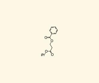 CC(C)OC(=O)CCOC(=O)c1ccccc1